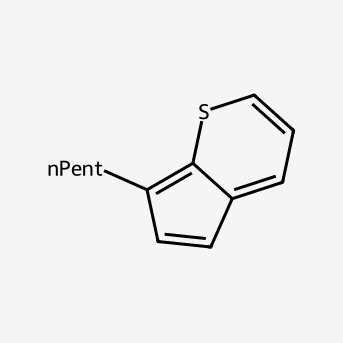 [CH2]CCCCc1ccc2cccsc1-2